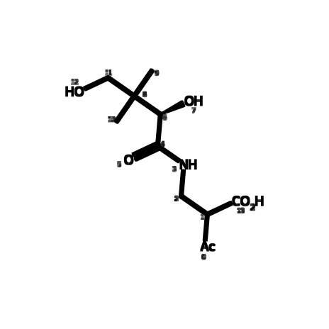 CC(=O)C(CNC(=O)[C@H](O)C(C)(C)CO)C(=O)O